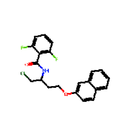 O=C(NC(CCl)CCOc1ccc2ccccc2c1)c1c(F)cccc1F